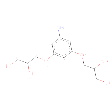 Nc1cc(OCC(O)CO)cc(OCC(O)CO)c1